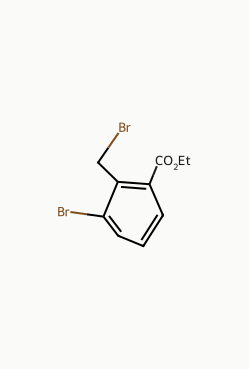 CCOC(=O)c1cccc(Br)c1CBr